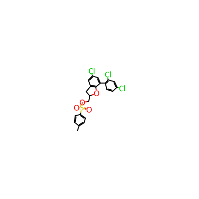 Cc1ccc(S(=O)(=O)OCC2Cc3cc(Cl)cc(-c4ccc(Cl)cc4Cl)c3O2)cc1